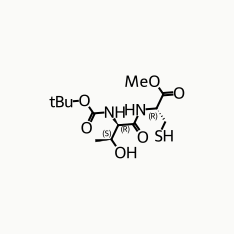 COC(=O)[C@H](CS)NC(=O)[C@H](NC(=O)OC(C)(C)C)[C@H](C)O